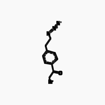 [N-]=[N+]=NCCc1ccc(C(=O)CBr)cc1